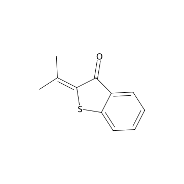 CC(C)=C1Sc2ccccc2C1=O